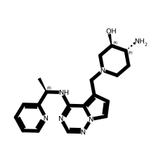 C[C@@H](Nc1ncnn2ccc(CN3CC[C@@H](N)[C@H](O)C3)c12)c1ccccn1